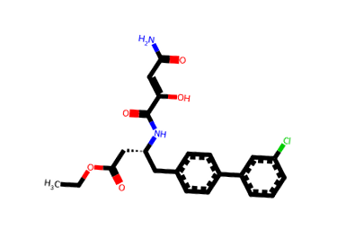 CCOC(=O)C[C@@H](Cc1ccc(-c2cccc(Cl)c2)cc1)NC(=O)/C(O)=C/C(N)=O